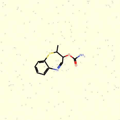 CC1Sc2ccccc2N=CC1OC(N)=O